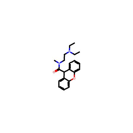 CCN(CC)CCN(C)C(=O)C1c2ccccc2Oc2ccccc21